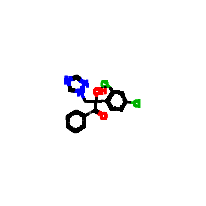 O=C(c1ccccc1)C(O)(Cn1cncn1)c1ccc(Cl)cc1Cl